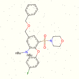 CCCCN(CCCC)c1cc(COCc2ccccc2)cc(S(=O)(=O)N2CCOCC2)c1Oc1ccc(F)cc1